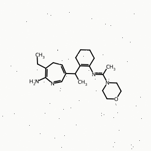 CCC1=C(N)N=CC(C(C)C2=C(/N=C(\C)N3CCOCC3)CCCC2)=CC1